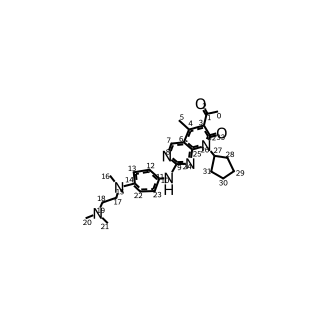 CC(=O)c1c(C)c2cnc(Nc3ccc(N(C)CCN(C)C)cc3)nc2n(C2CCCC2)c1=O